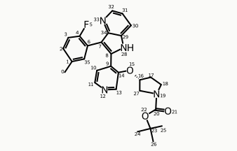 Cc1ccc(F)c(-c2c(-c3ccncc3O[C@@H]3CCN(C(=O)OC(C)(C)C)C3)[nH]c3cccnc23)c1